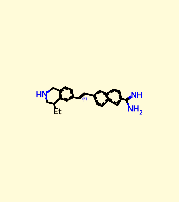 CCC1CNCc2ccc(/C=C/c3ccc4cc(C(=N)N)ccc4c3)cc21